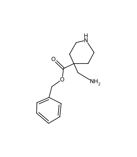 NCC1(C(=O)OCc2ccccc2)CCNCC1